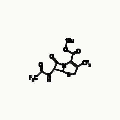 CC(C)(C)OC(=O)C1=C(C(F)(F)F)CSC2C(NC(=O)C(F)(F)F)C(=O)N12